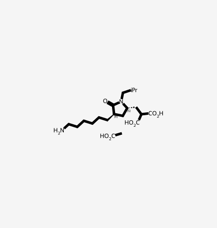 CC(=O)O.CC(C)CN1C(=O)[C@H](CCCCCCN)C[C@H]1CC(C(=O)O)C(=O)O